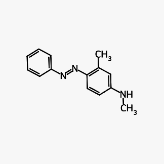 CNc1ccc(N=Nc2ccccc2)c(C)c1